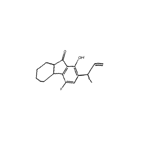 C=CC(C)c1cc(F)c2c(c1O)C(=O)C1CCCCC21